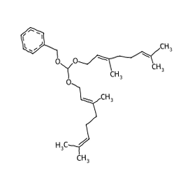 CC(C)=CCC/C(C)=C/COC(OC/C=C(\C)CCC=C(C)C)OCc1ccccc1